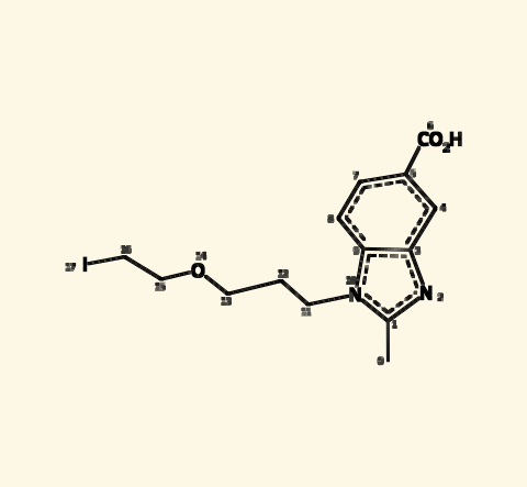 Cc1nc2cc(C(=O)O)ccc2n1CCCOCCI